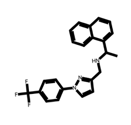 CC(NCc1ccn(-c2ccc(C(F)(F)F)cc2)n1)c1cccc2ccccc12